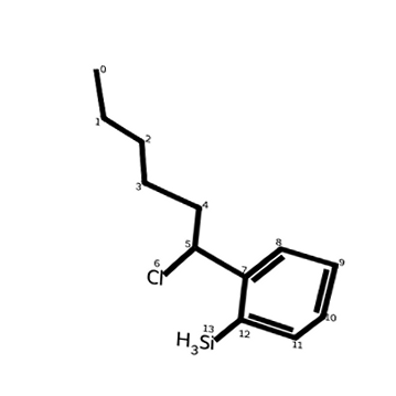 CCCCCC(Cl)c1ccccc1[SiH3]